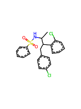 CC(NS(=O)(=O)c1ccccc1)C(Cc1ccc(Cl)cc1)c1ccccc1Cl